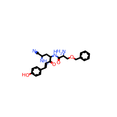 N#CC(N)CC(NC(=O)[C@@H](N)COCc1ccccc1)C(=O)/C=C/c1ccc(O)cc1